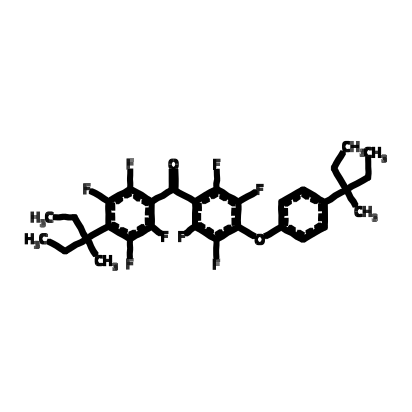 CCC(C)(CC)c1ccc(Oc2c(F)c(F)c(C(=O)c3c(F)c(F)c(C(C)(CC)CC)c(F)c3F)c(F)c2F)cc1